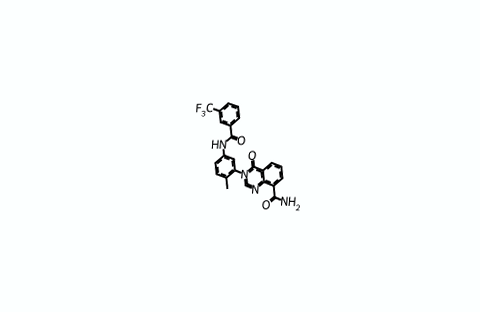 Cc1ccc(NC(=O)c2cccc(C(F)(F)F)c2)cc1-n1cnc2c(C(N)=O)cccc2c1=O